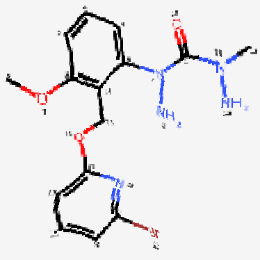 COc1cccc(N(N)C(=O)N(C)N)c1COc1cccc(Br)n1